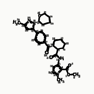 COC(=O)c1c(NC(=O)C2CCCC[C@H]2C(=O)c2ccc(-c3cc(C)nn3[C@H]3CCCCO3)cc2)cnn1C